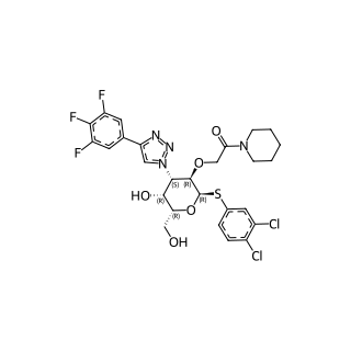 O=C(CO[C@@H]1[C@@H](n2cc(-c3cc(F)c(F)c(F)c3)nn2)[C@@H](O)[C@@H](CO)O[C@@H]1Sc1ccc(Cl)c(Cl)c1)N1CCCCC1